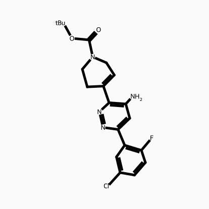 CC(C)(C)OC(=O)N1CC=C(c2nnc(-c3cc(Cl)ccc3F)cc2N)CC1